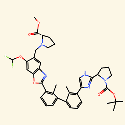 COC(=O)[C@@H]1CCCN1Cc1cc2nc(-c3cccc(-c4cccc(-c5c[nH]c(C6CCCN6C(=O)OC(C)(C)C)n5)c4C)c3C)oc2cc1OC(F)F